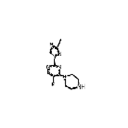 Cc1ncn(-c2ncc(F)c(N3CCNCC3)n2)n1